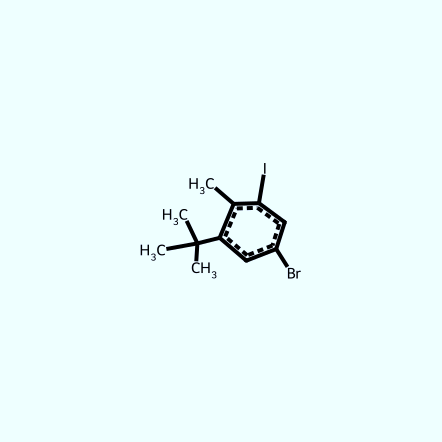 Cc1c(I)cc(Br)cc1C(C)(C)C